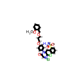 COc1ccccc1COCCCOc1ccc(N2C(=O)CN(Cl)C(Cl)C2Cc2ccccc2S(N)(=O)=O)cc1